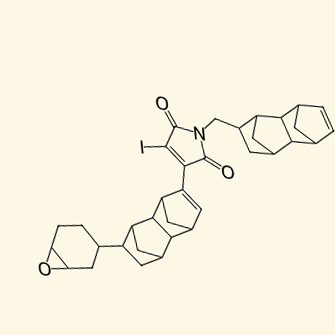 O=C1C(I)=C(C2=CC3CC2C2C4CC(CC4C4CCC5OC5C4)C32)C(=O)N1CC1CC2CC1C1C3C=CC(C3)C21